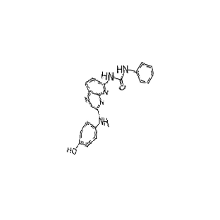 O=C(Nc1ccccc1)Nc1ccc2ncc(Nc3ccc(O)cc3)nc2n1